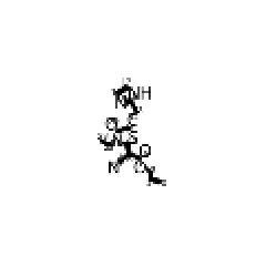 C=CCOC(=O)/C(C#N)=c1\sc(=C=Cc2ncc[nH]2)c(=O)n1CC